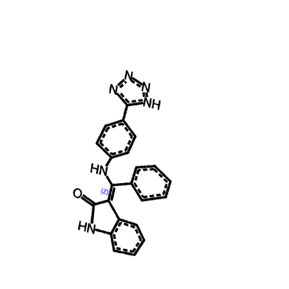 O=C1Nc2ccccc2/C1=C(/Nc1ccc(-c2nnn[nH]2)cc1)c1ccccc1